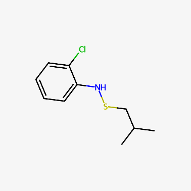 CC(C)CSNc1ccccc1Cl